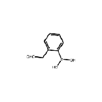 O=CCc1ccccc1B(O)O